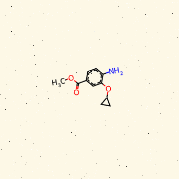 COC(=O)c1ccc(N)c(OC2CC2)c1